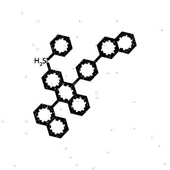 c1ccc([SiH2]c2ccc3c(-c4cccc5ccccc45)c4ccccc4c(-c4ccc(-c5ccc6ccccc6c5)cc4)c3c2)cc1